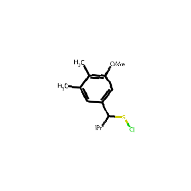 COc1cc(C(SCl)C(C)C)cc(C)c1C